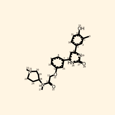 Cc1cc(-c2cc(-c3cccc(OCC(=O)N(C)C4CCN(C)CC4)c3)[nH]c(=O)n2)ccc1O